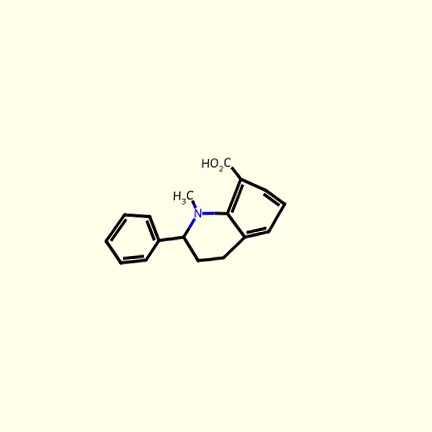 CN1c2c(cccc2C(=O)O)CCC1c1ccccc1